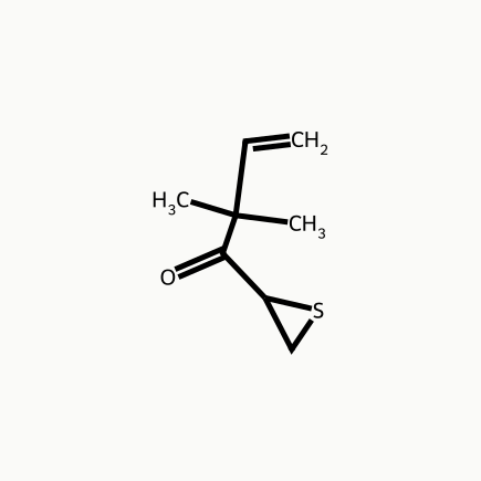 C=CC(C)(C)C(=O)C1CS1